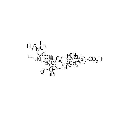 CC(C)C1=C2[C@H]3CC[C@@H]4[C@@]5(C)CC=C(C6=CCC(C(=O)O)CC6)C(C)(C)[C@@H]5CC[C@@]4(C)[C@]3(C)CC[C@@]2([C@@H](O)CN(CC2CCC2)C(=O)CN(C)C)CC1=O